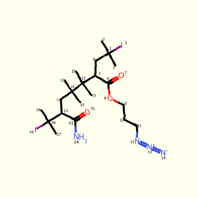 CC(C)(I)CC(C(=O)OCCCN=[N+]=[N-])C(C)(C)C(C)(C)CC(C(N)=O)C(C)(C)I